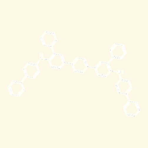 c1ccc(-c2ccc(Nc3ccc(-c4ccc(-c5ccc(Nc6ccc(-c7ccccc7)cc6)c(-c6ccccc6)c5)cc4)cc3-c3ccccc3)cc2)cc1